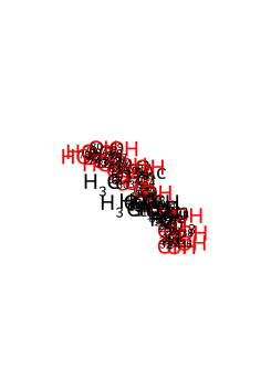 CC(=O)O[C@H]1[C@H](O[C@H]2[C@H](OC(=O)[C@]34CCC(C)(C)C[C@H]3C3=CC[C@@H]5[C@@]6(C)C[C@H](O)[C@H](O[C@@H]7O[C@H](CO)[C@@H](O)[C@H](O)[C@H]7O)C(CO)(CO)[C@@H]6CC[C@@]5(C)[C@]3(C)C[C@H]4O)OC[C@H](O)[C@@H]2O)O[C@@H](C)[C@H](O[C@@H]2OC[C@@H](O)[C@H](O[C@@H]3OC[C@](O)(CO)[C@H]3O)[C@H]2O)[C@H]1O